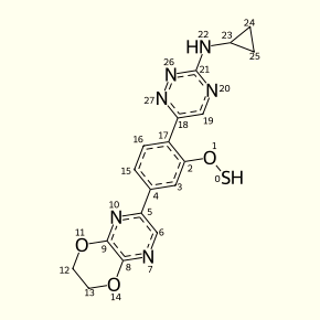 SOc1cc(-c2cnc3c(n2)OCCO3)ccc1-c1cnc(NC2CC2)nn1